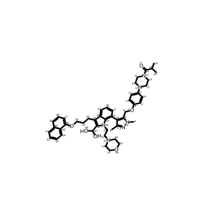 Cc1nn(C)c(COc2ccc(N3CCN(C(=O)C(C)C)CC3)cc2)c1-c1cccc2c(CCCOc3cccc4ccccc34)c(C(O)O)n(CCN3CCOCC3)c12